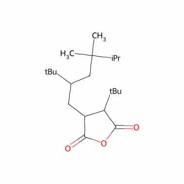 CC(C)C(C)(C)CC(CC1C(=O)OC(=O)C1C(C)(C)C)C(C)(C)C